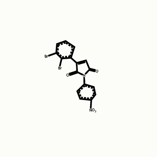 O=C1C=C(c2cccc(Br)c2Br)C(=O)N1c1ccc([N+](=O)[O-])cc1